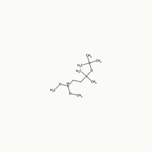 CO[SiH](CC[Si](C)(C)O[Si](C)(C)C)OC